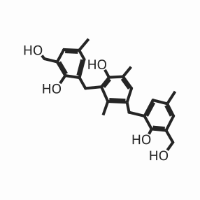 Cc1cc(CO)c(O)c(Cc2cc(C)c(O)c(Cc3cc(C)cc(CO)c3O)c2C)c1